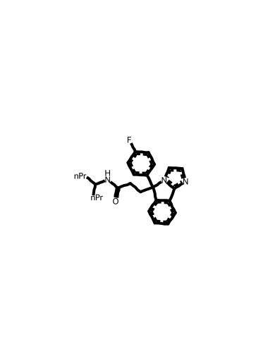 CCCC(CCC)NC(=O)CCC1(c2ccc(F)cc2)c2ccccc2-c2nccn21